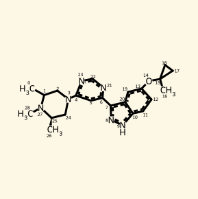 CC1CN(c2cc(-c3n[nH]c4ccc(OC5(C)CC5)cc34)ncn2)C[C@@H](C)N1C